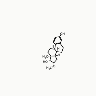 CO[C@H]1C[C@H]2[C@@H]3CCc4cc(O)ccc4[C@H]3CC[C@]2(C)[C@H]1O